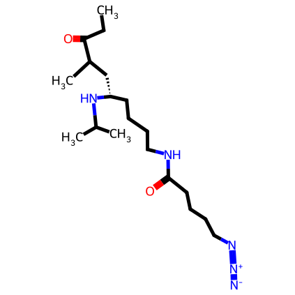 CCC(=O)C(C)C[C@H](CCCCNC(=O)CCCCN=[N+]=[N-])NC(C)C